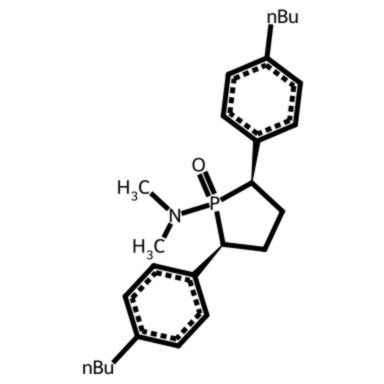 CCCCc1ccc([C@H]2CC[C@@H](c3ccc(CCCC)cc3)P2(=O)N(C)C)cc1